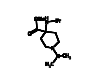 COC(=O)C1(NC(C)C)CCN(N(C)C)CC1